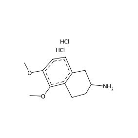 COc1ccc2c(c1OC)CCC(N)C2.Cl.Cl